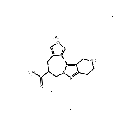 Cl.NC(=O)C1Cc2conc2-c2c3c(nn2C1)CCNC3